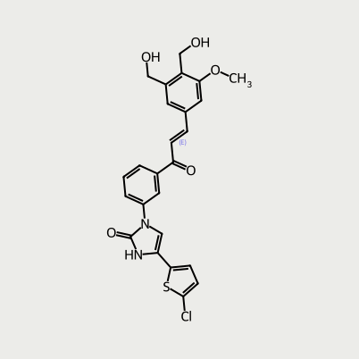 COc1cc(/C=C/C(=O)c2cccc(-n3cc(-c4ccc(Cl)s4)[nH]c3=O)c2)cc(CO)c1CO